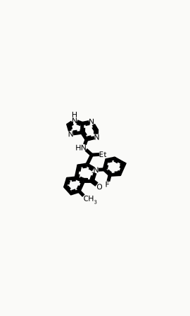 CCC(Nc1ncnc2[nH]cnc12)c1cc2cccc(C)c2c(=O)n1-c1ccccc1F